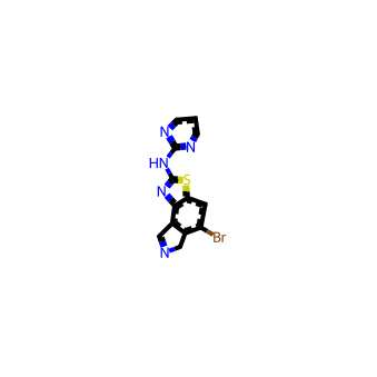 Brc1cc2sc(Nc3ncccn3)nc2c2c1CN=C2